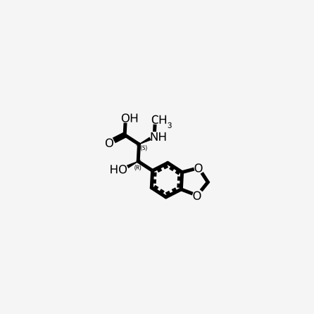 CN[C@H](C(=O)O)[C@H](O)c1ccc2c(c1)OCO2